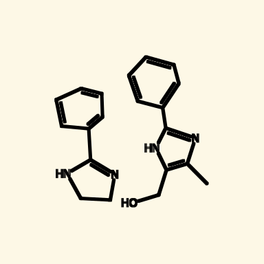 Cc1nc(-c2ccccc2)[nH]c1CO.c1ccc(C2=NCCN2)cc1